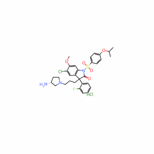 COc1cc2c(cc1Cl)C(CCCN1CC[C@@H](N)C1)(c1ccccc1F)C(=O)N2S(=O)(=O)c1ccc(OC(C)C)cc1.Cl